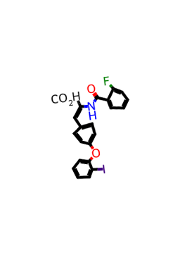 O=C(O)C(=Cc1ccc(Oc2ccccc2I)cc1)NC(=O)c1ccccc1F